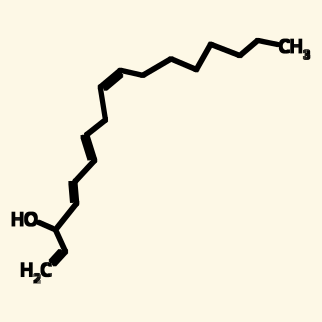 C=CC(O)C=CC=CC/C=C\CCCCCCC